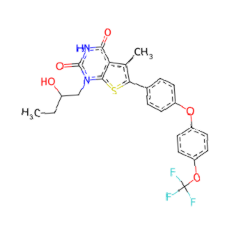 CCC(O)Cn1c(=O)[nH]c(=O)c2c(C)c(-c3ccc(Oc4ccc(OC(F)(F)F)cc4)cc3)sc21